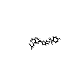 Cc1ccc(S(=O)(=O)N2CC3(CCN(c4cnc5cnn(CC(F)F)c5n4)C3)C2)cc1